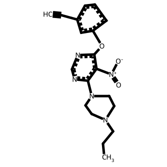 C#Cc1cccc(Oc2ncnc(N3CCN(CCC)CC3)c2[N+](=O)[O-])c1